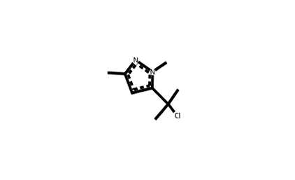 Cc1cc(C(C)(C)Cl)n(C)n1